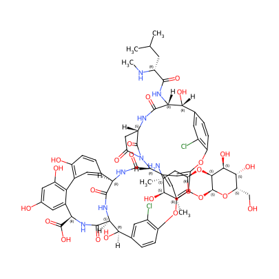 CN[C@H](CC(C)C)C(=O)N[C@H]1C(=O)N[C@H]2CC(=O)N(C2=O)[C@H]2C(=O)N[C@H]3C(=O)N[C@H](C(=O)N[C@@H](C(=O)O)c4cc(O)cc(O)c4-c4cc3ccc4O)[C@H](O)c3ccc(c(Cl)c3)Oc3cc2cc(c3O[C@@H]2O[C@@H](CO)[C@@H](O)[C@H](O)[C@@H]2O[C@@H]2C[C@](C)(N)[C@H](O)[C@@H](C)O2)Oc2ccc(cc2Cl)[C@H]1O